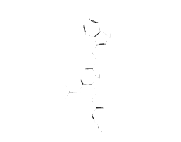 CC(C)OC(=O)[C@H](CCC(=O)C=[N+]=[N-])NC(=O)[C@@H](O)Cc1c[nH]c2cc(F)ccc12